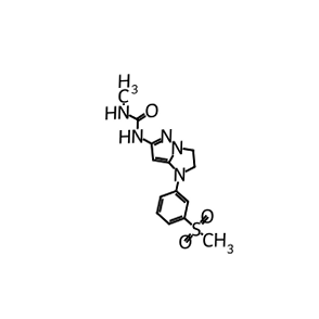 CNC(=O)Nc1cc2n(n1)CCN2c1cccc(S(C)(=O)=O)c1